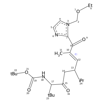 CCOCn1ccnc1C(=O)/C(C)=C/C(CC(=O)C(NC(=O)OC(C)(C)C)C(C)(C)C)C(C)C